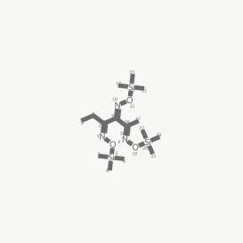 CCC(=NO[Si](C)(C)C)C(=NO[Si](C)(C)C)C(C)=NO[Si](C)(C)C